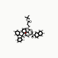 CC(C)(C)OC(=O)CCNC(=O)[C@@H]1C[C@@H](SC(c2ccccc2)(c2ccccc2)c2ccccc2)CN1S(=O)(=O)c1ccc2ccccc2c1